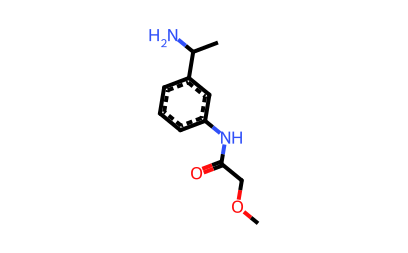 COCC(=O)Nc1cccc(C(C)N)c1